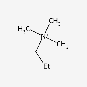 [CH2]CC[N+](C)(C)C